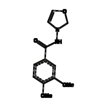 COc1ccc(C(=O)NN2C=COC2)cc1OC